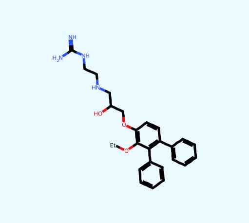 CCOc1c(OCC(O)CNCCNC(=N)N)ccc(-c2ccccc2)c1-c1ccccc1